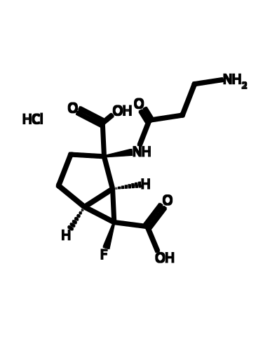 Cl.NCCC(=O)N[C@]1(C(=O)O)CC[C@H]2[C@@H]1[C@]2(F)C(=O)O